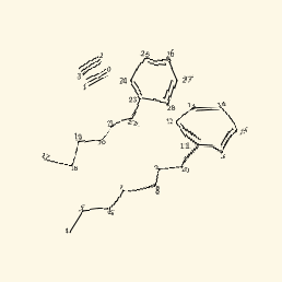 C#C.C#C.CCCCCCCc1ccccc1.CCCCCCc1ccccc1